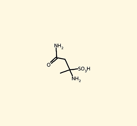 CC(N)(CC(N)=O)S(=O)(=O)O